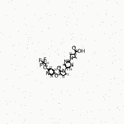 O=C(O)C1CN(c2ncc(N3CC[C@@H](Oc4ccc(OCC(F)(F)F)nc4)C3=O)cn2)C1